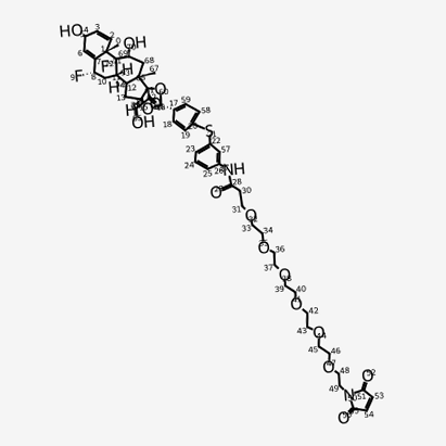 C[C@]12C=CC(O)C=C1[C@@H](F)C[C@H]1[C@@H]3C[C@H]4O[C@@H](c5ccc(Sc6cccc(NC(=O)CCOCCOCCOCCOCCOCCOCCN7C(=O)C=CC7=O)c6)cc5)O[C@@]4(C(=O)CO)[C@@]3(C)C[C@H](O)[C@@]12F